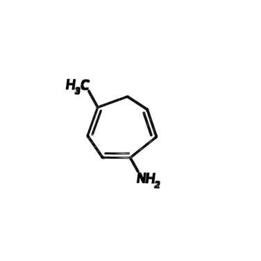 CC1=CC=C(N)C=CC1